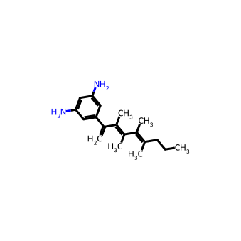 C=C(/C(C)=C(C)/C(C)=C(\C)CCC)c1cc(N)cc(N)c1